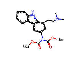 CN(C)CCc1cc(N(C(=O)OC(C)(C)C)C(=O)OC(C)(C)C)cc2c1[nH]c1ccccc12